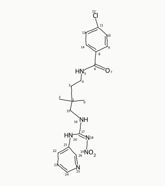 CC(C)(CCNC(=O)c1ccc(Cl)cc1)CNC(=N[N+](=O)[O-])Nc1cccnc1